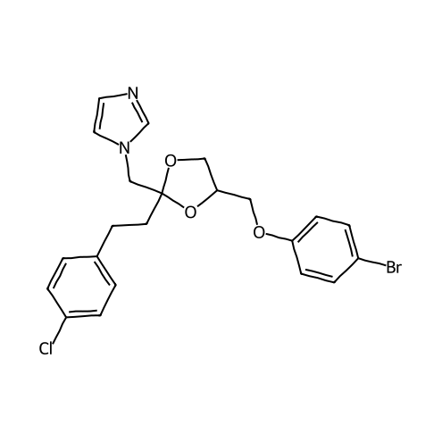 Clc1ccc(CCC2(Cn3ccnc3)OCC(COc3ccc(Br)cc3)O2)cc1